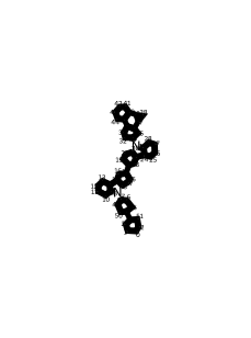 c1ccc(-c2ccc(-n3c4ccccc4c4cc(-c5ccc6c(c5)c5ccccc5n6-c5ccc6c(c5)C5CC5c5ccccc5-6)ccc43)cc2)cc1